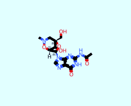 CC(=O)Nc1nc2c(ncn2[C@@H]2O[C@@]3(CO)CN(C)O[C@H]2C3O)c(=O)[nH]1